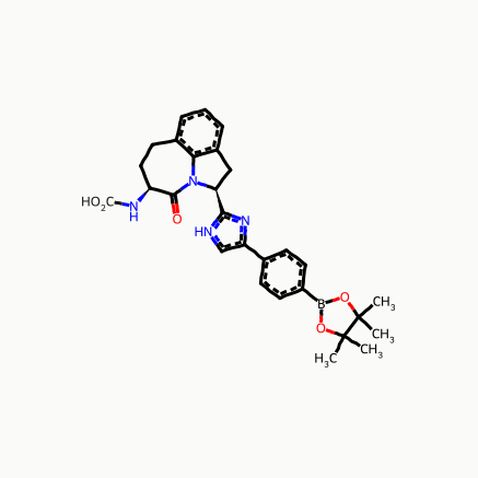 CC1(C)OB(c2ccc(-c3c[nH]c([C@@H]4Cc5cccc6c5N4C(=O)[C@@H](NC(=O)O)CC6)n3)cc2)OC1(C)C